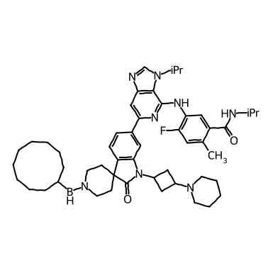 Cc1cc(F)c(Nc2nc(-c3ccc4c(c3)N(C3CC(N5CCCCC5)C3)C(=O)C43CCN(BC4CCCCCCCCC4)CC3)cc3ncn(C(C)C)c23)cc1C(=O)NC(C)C